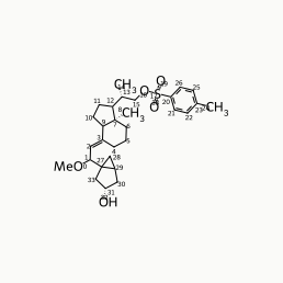 COC(/C=C1\CCC[C@@]2(C)C1CCC2[C@H](C)COS(=O)(=O)c1ccc(C)cc1)C12CC1C[C@H](O)C2